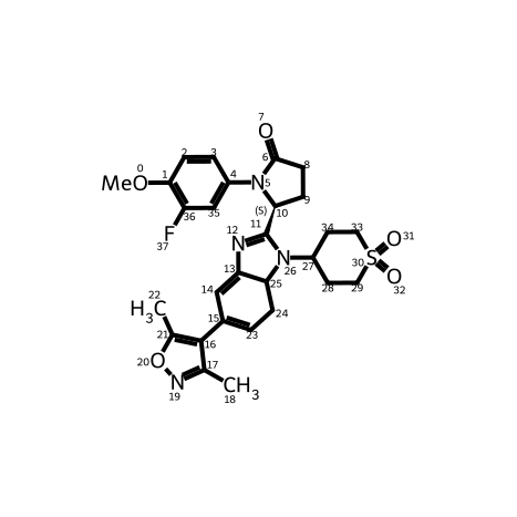 COc1ccc(N2C(=O)CC[C@H]2C2=NC3=CC(c4c(C)noc4C)=CCC3N2C2CCS(=O)(=O)CC2)cc1F